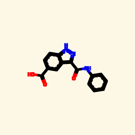 O=C(O)c1ccc2[nH]nc(C(=O)Nc3ccccc3)c2c1